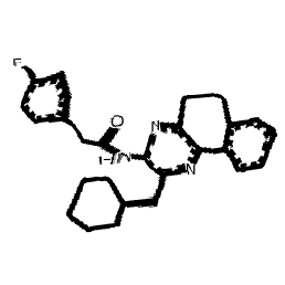 O=C(Cc1ccc(F)cc1)Nc1nc2c(nc1CC1CCCCC1)-c1ccccc1CC2